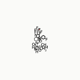 CC(C)(O)CN1C(=O)[C@@H]2C[C@@H]2[C@H]1C(=O)N1CCC2(S(=O)(=O)c3cccc(F)c3)c3ccc(C(F)(C(F)(F)F)C(F)(F)F)nc3CCC12